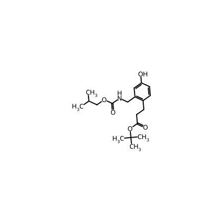 CC(C)COC(=O)NCc1cc(O)ccc1CCC(=O)OC(C)(C)C